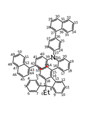 CCC1(c2ccccc2)c2ccccc2-c2c(-c3ccccc3N(c3ccc(-c4cccc5ccccc45)cc3)c3ccc(-c4cccc5ccccc45)cc3)cccc21